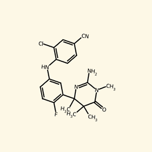 CN1C(=O)C(C)(C)C(C)(c2cc(Nc3ccc(C#N)cc3Cl)ccc2F)N=C1N